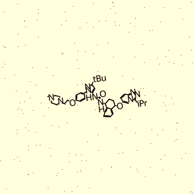 CC(C)c1nnc2ccc(O[C@@H]3CC[C@H](NC(=O)Nc4cc(C(C)(C)C)nn4-c4ccc(OCCN5CCN(C)CC5)cc4)c4ccccc43)cn12